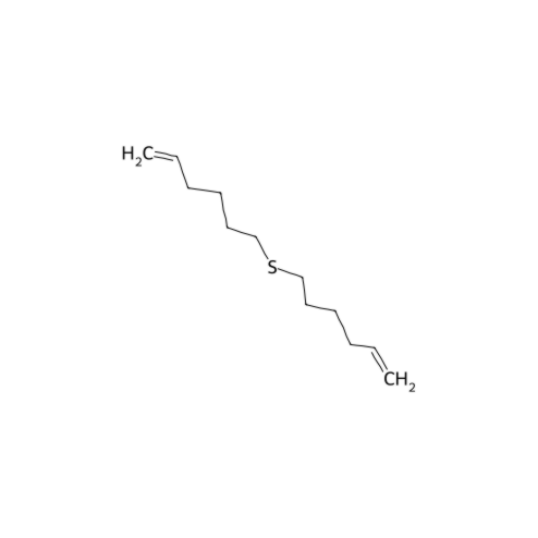 C=CCCCCSCCCCC=C